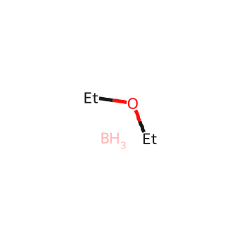 B.CCOCC